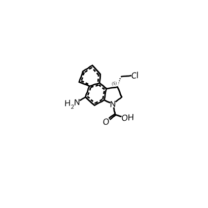 Nc1cc2c(c3ccccc13)[C@H](CCl)CN2C(=O)O